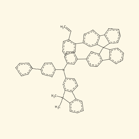 C=Cc1ccccc1-c1ccc2c(c1)C1(c3ccccc3-c3ccc(-c4cccc(N(c5ccc(-c6ccccc6)cc5)c5ccc6c(c5)C(C)(C)c5ccccc5-6)c4)cc31)c1ccccc1-2